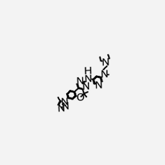 CCN(CC)CCN(C)c1cncc(Nc2ncc3c(n2)C(C)(C)Oc2cc(-n4nncc4C)ccc2-3)c1